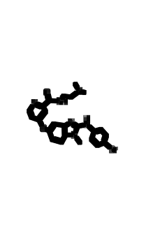 CN(C)CCNC(=O)c1cc(Oc2ccc3c(c2)nc(Nc2ccc(Br)cc2)n3C)ccn1